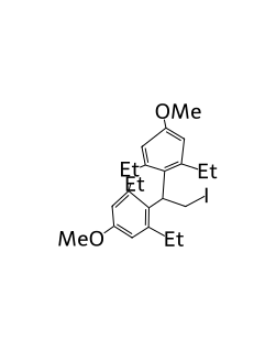 CCc1cc(OC)cc(CC)c1C(CI)c1c(CC)cc(OC)cc1CC